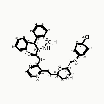 O=C(O)N[C@H](C(=O)Nc1nccnc1CC[C@@H]1CNC[C@@H](CSc2ccc(Cl)cc2)O1)C(c1ccccc1)c1ccccc1